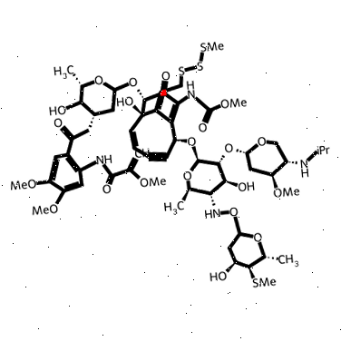 C=C(OC)C(=O)Nc1cc(OC)c(OC)cc1C(=O)C[C@H]1CC(O[C@@H]2C(=O)C(NC(=O)OC)=C3/C(=C\CSSSC)[C@]2(O)/C=C\C#C[C@@H]3O[C@@H]2O[C@H](C)[C@@H](NOC3C[C@H](O)[C@H](SC)[C@@H](C)O3)[C@H](O)[C@H]2O[C@H]2C[C@H](OC)[C@@H](NC(C)C)CO2)O[C@@H](C)C1O